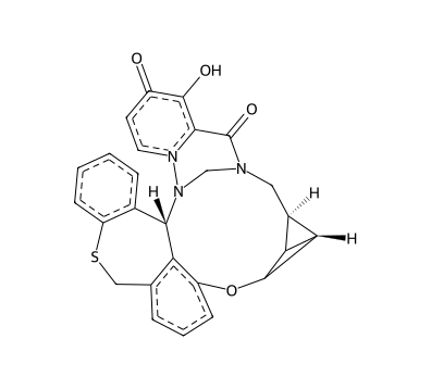 O=C1c2c(O)c(=O)ccn2N2CN1C[C@@H]1C3C(Oc4cccc5c4[C@@H]2c2ccccc2SC5)[C@H]31